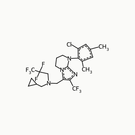 Cc1cc(C)c(N2CCCn3c2nc(C(F)(F)F)c3CN(CC2CC2)CC(F)(F)C(F)(F)F)c(Cl)c1